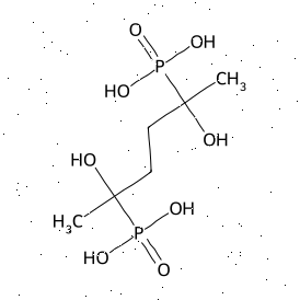 CC(O)(CCC(C)(O)P(=O)(O)O)P(=O)(O)O